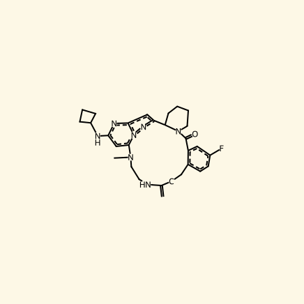 C=C1CCc2ccc(F)cc2C(=O)N2CCCCC2c2cc3nc(NC4CCC4)cc(n3n2)N(C)CCN1